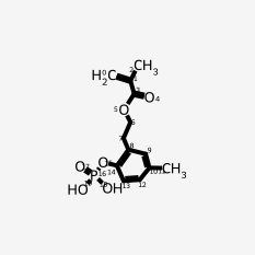 C=C(C)C(=O)OCCc1cc(C)ccc1OP(=O)(O)O